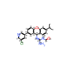 CC(C)c1ccc2c(c1)Oc1ccc(-c3cncc(Cl)c3)cc1C2/N=C(/N)N(C)C=O